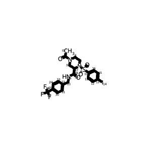 CC(=O)N1CCN(S(=O)(=O)c2ccc(I)cc2)C(C(=O)NCc2ccc(C(F)(F)F)cc2)C1